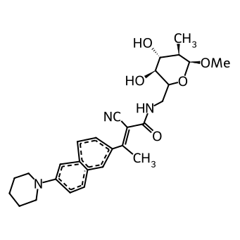 CO[C@H]1OC(CNC(=O)/C(C#N)=C(\C)c2ccc3cc(N4CCCCC4)ccc3c2)[C@@H](O)[C@H](O)[C@H]1C